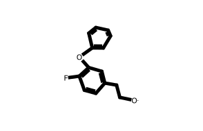 [O]CCc1ccc(F)c(Oc2ccccc2)c1